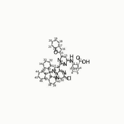 O=C(O)C1C2CCC(CC2)C1Nc1cc(-c2cc3ccccc3o2)nc(-c2cn(C(c3ccccc3)(c3ccccc3)c3ccccc3)c3ncc(Cl)nc23)n1